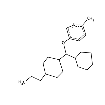 CCCC1CCC(C(Oc2ccc(C)nc2)C2CCCCC2)CC1